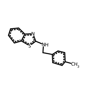 Cc1ccc(CNc2nc3ccccc3s2)cc1